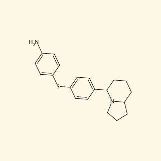 Nc1ccc(Sc2ccc(C3CCCC4CCCN43)cc2)cc1